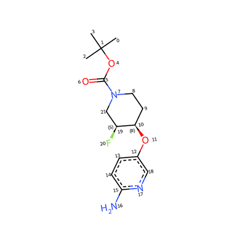 CC(C)(C)OC(=O)N1CC[C@@H](Oc2ccc(N)nc2)[C@@H](F)C1